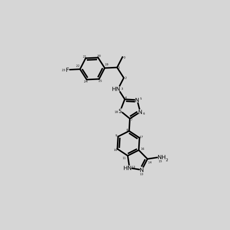 CC(CNc1nnc(-c2ccc3[nH]nc(N)c3c2)s1)c1ccc(F)cc1